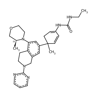 CCNC(=O)NC1=CCC(C)(c2cc3c(c(N4CCOC[C@@H]4C)c2)CCN(c2ncccn2)C3)C=C1